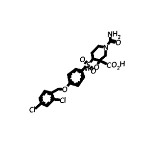 COC1(C(=O)O)CN(C(N)=O)CCC1S(=O)(=O)c1ccc(OCc2ccc(Cl)cc2Cl)cc1